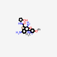 Cc1cc(OC(C)C)ccc1C1(N)C(=O)C(N)c2c(C(=O)N[C@@H]3CCC[C@H]3O)sc3c(N)ccc1c23